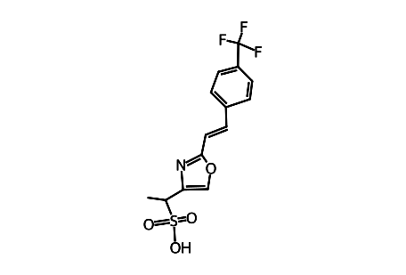 CC(c1coc(/C=C/c2ccc(C(F)(F)F)cc2)n1)S(=O)(=O)O